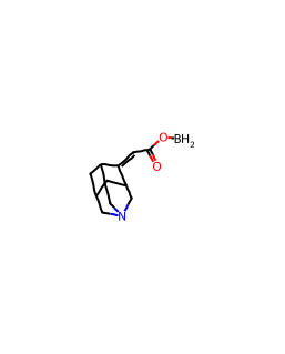 BOC(=O)C=C1C2CC3CC1CN(C3)C2